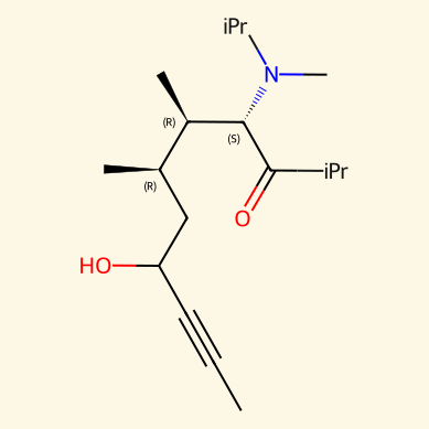 CC#CC(O)C[C@@H](C)[C@@H](C)[C@@H](C(=O)C(C)C)N(C)C(C)C